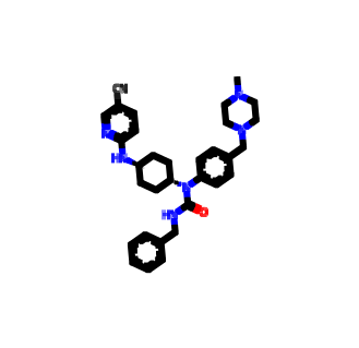 CN1CCN(Cc2ccc(N(C(=O)NCc3ccccc3)[C@H]3CC[C@H](Nc4ccc(C#N)cn4)CC3)cc2)CC1